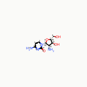 Nc1ccn([C@@H]2O[C@H](CO)[C@@H](O)[C@@H]2N)c(=O)n1